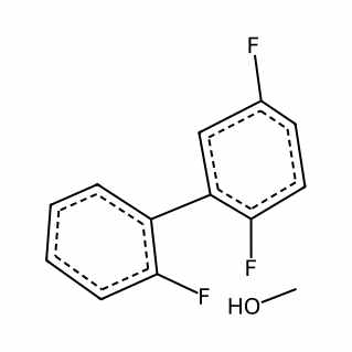 CO.Fc1ccc(F)c(-c2ccccc2F)c1